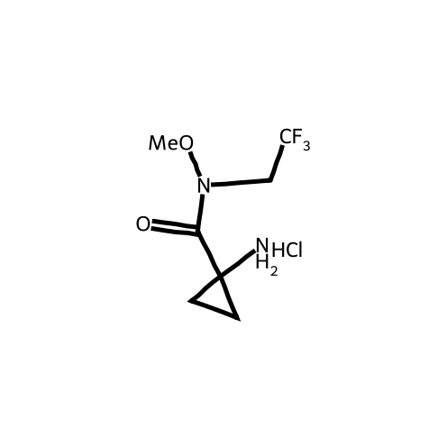 CON(CC(F)(F)F)C(=O)C1(N)CC1.Cl